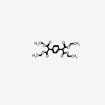 CCOC(=O)C(C(=O)OCC)c1ccc(C(C(=O)OCC)C(=O)OCC)cc1